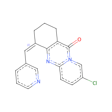 O=c1c2c(nc3ccc(Cl)cn13)/C(=C\c1cccnc1)CCC2